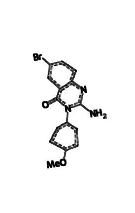 COc1ccc(-n2c(N)nc3ccc(Br)cc3c2=O)cc1